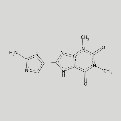 Cn1c(=O)c2[nH]c(-c3cnc(N)s3)nc2n(C)c1=O